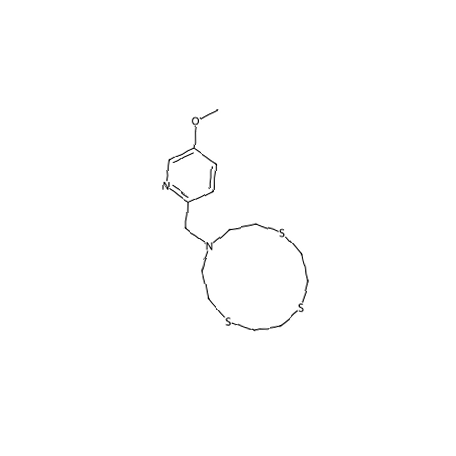 COc1ccc(CN2CCSCCSCCSCC2)nc1